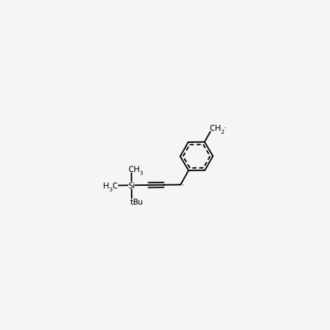 [CH2]c1ccc([CH]C#C[Si](C)(C)C(C)(C)C)cc1